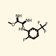 COC(=N)C(=N)Nc1cc(C(F)(F)F)ccc1F